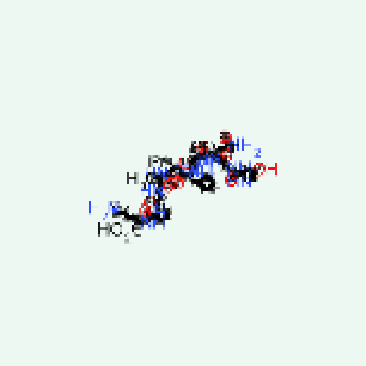 CC(C)C[C@H](NC(=O)[C@H](Cc1ccccc1)NC(=O)[C@H](CC(=O)O)NC(=O)[C@H](CCC(N)=O)NC(=O)CNC(=O)[C@@H]1C[C@@H](O)CN1)C(=O)N[C@@H](C)C(=O)NCC(=O)N1CCC[C@H]1C(=O)N[C@@H](CCCCN)C(=O)O